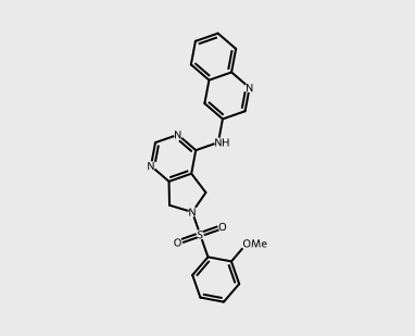 COc1ccccc1S(=O)(=O)N1Cc2ncnc(Nc3cnc4ccccc4c3)c2C1